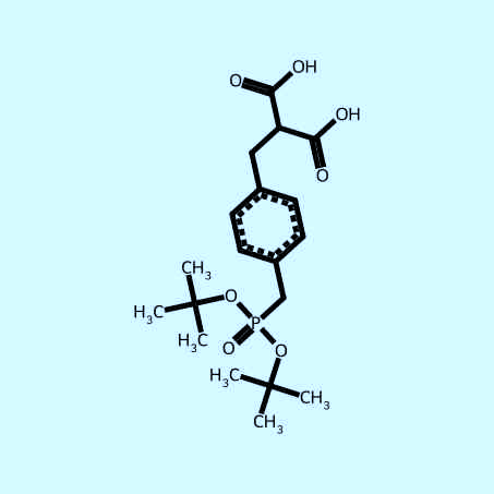 CC(C)(C)OP(=O)(Cc1ccc(CC(C(=O)O)C(=O)O)cc1)OC(C)(C)C